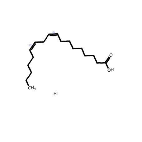 CCCCC/C=C\C/C=C\CCCCCCCC(=O)O.I